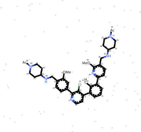 COc1cc(-c2nccc(-c3cccc(-c4ccc(CNC5CCN(C(C)=O)CC5)c(OC)n4)c3C)c2Cl)ccc1CNC1CCN(C(C)=O)CC1